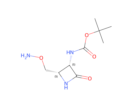 CC(C)(C)OC(=O)N[C@@H]1C(=O)N[C@@H]1CON